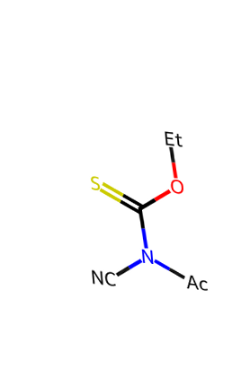 CCOC(=S)N(C#N)C(C)=O